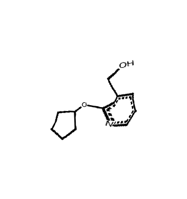 OCc1cccnc1OC1CCCC1